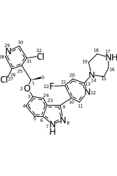 C[C@@H](Oc1ccc2[nH]nc(-c3cnc(N4CCNCC4)cc3F)c2c1)c1c(Cl)cncc1Cl